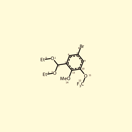 CCOC(OCC)c1cc(Br)cc(OC(F)(F)F)c1OC